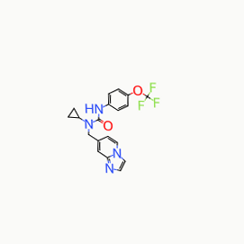 O=C(Nc1ccc(OC(F)(F)F)cc1)N(Cc1ccn2ccnc2c1)C1CC1